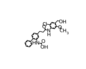 COc1cc(NC(=O)CCc2ccc(-c3ccccc3)c(NC(=O)O)c2)c(Cl)cc1CO